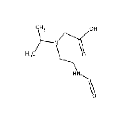 CC(C)N(CCNC=O)CC(=O)O